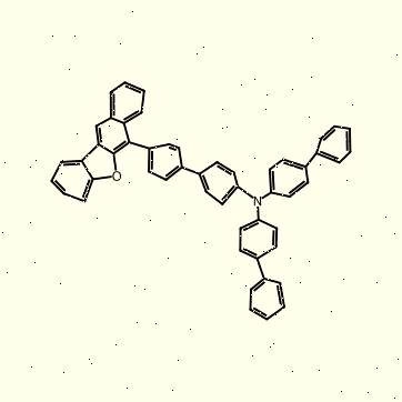 c1ccc(-c2ccc(N(c3ccc(-c4ccccc4)cc3)c3ccc(-c4ccc(-c5c6ccccc6cc6c5oc5ccccc56)cc4)cc3)cc2)cc1